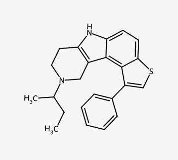 CCC(C)N1CCc2[nH]c3ccc4scc(-c5ccccc5)c4c3c2C1